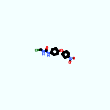 O=C(NCCl)Nc1ccc(Oc2ccc([N+](=O)[O-])cc2)cc1